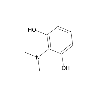 CN(C)c1c(O)cccc1O